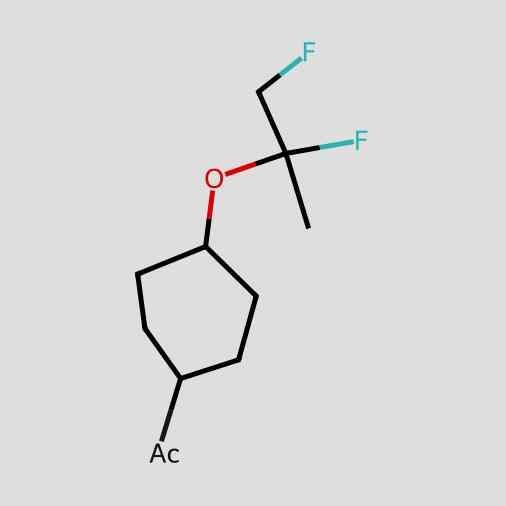 CC(=O)C1CCC(OC(C)(F)CF)CC1